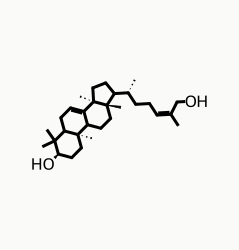 C/C(=C/CC[C@@H](C)C1CC[C@]2(C)C3=CCC4C(C)(C)[C@H](O)CC[C@]4(C)C3CC[C@@]12C)CO